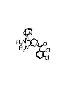 NC1=C(N(N)c2ncccn2)CCN(C(=O)c2cccc(Cl)c2Cl)C1